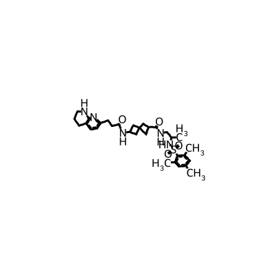 Cc1cc(C)c(S(=O)(=O)NC(C)CNC(=O)C2CC3(CC(NC(=O)CCc4ccc5c(n4)NCCC5)C3)C2)c(C)c1